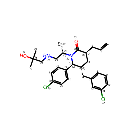 C=CC[C@H]1C[C@H](Cc2cccc(Cl)c2)[C@@H](c2ccc(Cl)cc2)N([C@@H](CC)CNCC(C)(C)O)C1=O